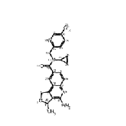 C[C@H]1OCc2c1c(N)nc1ccc(C(=O)N(Cc3ccc(C(F)(F)F)cn3)C3CC3)cc21